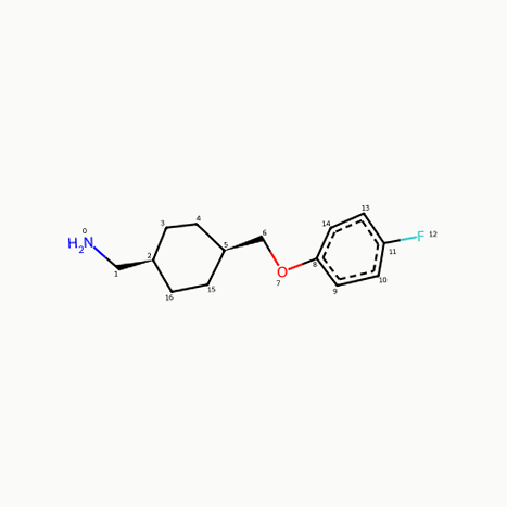 NC[C@H]1CC[C@@H](COc2ccc(F)cc2)CC1